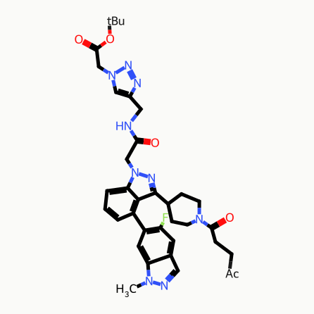 CC(=O)CCC(=O)N1CCC(c2nn(CC(=O)NCc3cn(CC(=O)OC(C)(C)C)nn3)c3cccc(-c4cc5c(cnn5C)cc4F)c23)CC1